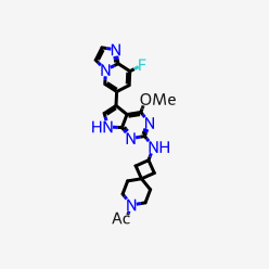 COc1nc(NC2CC3(CCN(C(C)=O)CC3)C2)nc2[nH]cc(-c3cc(F)c4nccn4c3)c12